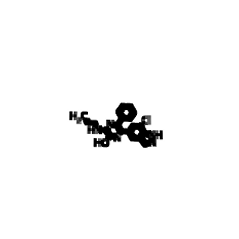 C=CCNc1nc(-c2ccccc2)c(-c2cc(Cl)c3[nH]ncc3c2)nc1O